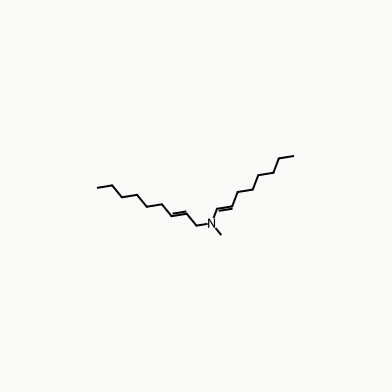 CCCCCCC=CCN(C)C=CCCCCCC